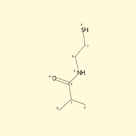 CC(C)C(=O)NCCS